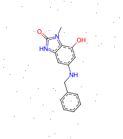 Cn1c(=O)[nH]c2cc(NCc3ccccc3)cc(O)c21